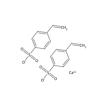 C=Cc1ccc(S(=O)(=O)[O-])cc1.C=Cc1ccc(S(=O)(=O)[O-])cc1.[Ca+2]